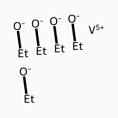 CC[O-].CC[O-].CC[O-].CC[O-].CC[O-].[V+5]